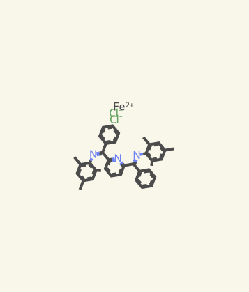 Cc1cc(C)c(N=C(c2ccccc2)c2cccc(C(=Nc3c(C)cc(C)cc3C)c3ccccc3)n2)c(C)c1.[Cl-].[Cl-].[Fe+2]